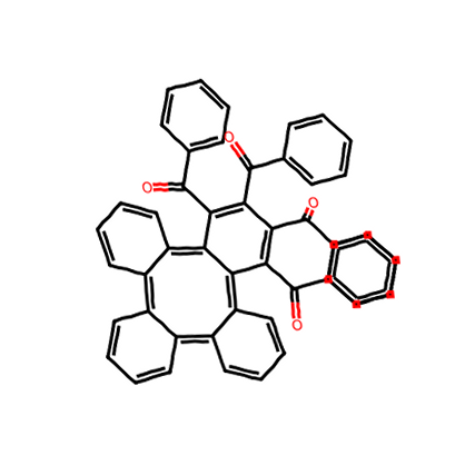 O=C(c1ccccc1)c1c(C(=O)c2ccccc2)c(C(=O)c2ccccc2)c2/c(c1C(=O)c1ccccc1)=c1/cccc/c1=c1\cccc\c1=c1/cccc/c1=2